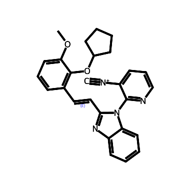 [C-]#[N+]c1cccnc1-n1c(/C=C/c2cccc(OC)c2OC2CCCC2)nc2ccccc21